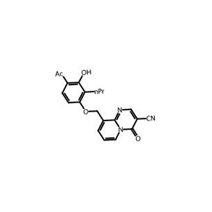 CCCc1c(OCc2cccn3c(=O)c(C#N)cnc23)ccc(C(C)=O)c1O